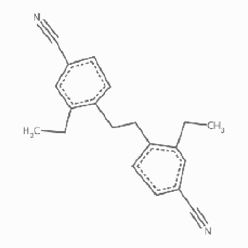 CCc1cc(C#N)ccc1CCc1ccc(C#N)cc1CC